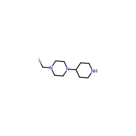 ICN1CCN(C2CCNCC2)CC1